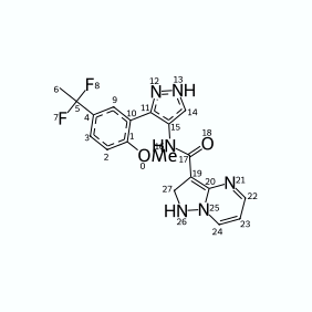 COc1ccc(C(C)(F)F)cc1-c1n[nH]cc1NC(=O)C1=C2N=CC=CN2NC1